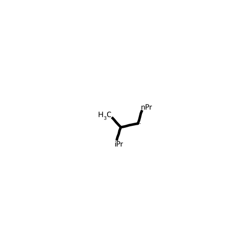 CCC[CH]C(C)C(C)C